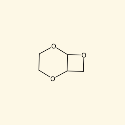 C1COC2OCC2O1